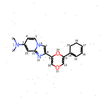 CN(C)c1ccn2cc(C3=COC=C(C4=CC=CCC4)O3)nc2c1